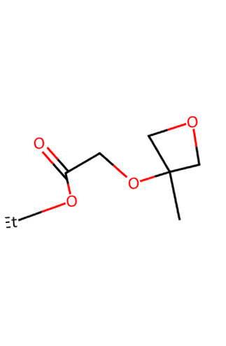 CCOC(=O)COC1(C)COC1